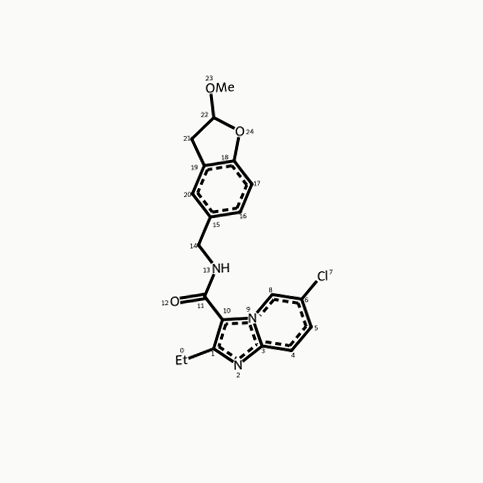 CCc1nc2ccc(Cl)cn2c1C(=O)NCc1ccc2c(c1)CC(OC)O2